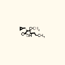 CCCC[C@H](OC)[C@@H](CC1CC1)C(=O)O